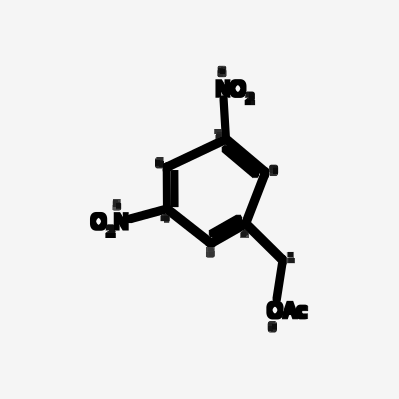 CC(=O)OCc1cc([N+](=O)[O-])cc([N+](=O)[O-])c1